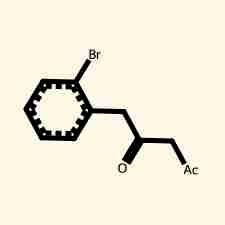 CC(=O)CC(=O)Cc1ccccc1Br